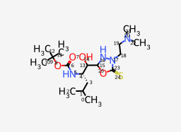 CC(C)C[C@H](NC(=O)OC(C)(C)C)C(O)C1NN(CCN(C)C)C(=S)O1